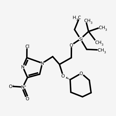 CC[Si](CC)(OCC(Cn1cc([N+](=O)[O-])nc1Cl)O[C@H]1CCCCO1)C(C)(C)C